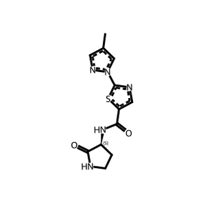 Cc1cnn(-c2ncc(C(=O)N[C@H]3CCNC3=O)s2)c1